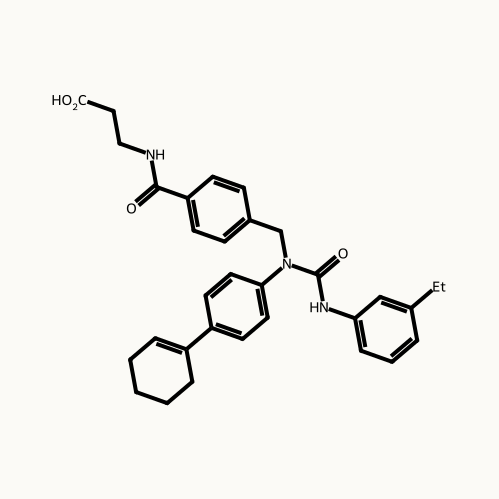 CCc1cccc(NC(=O)N(Cc2ccc(C(=O)NCCC(=O)O)cc2)c2ccc(C3=CCCCC3)cc2)c1